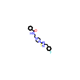 O=C(NCCN1CCN(c2nc(Cc3ccc(F)cc3)ns2)CC1)c1ccccc1